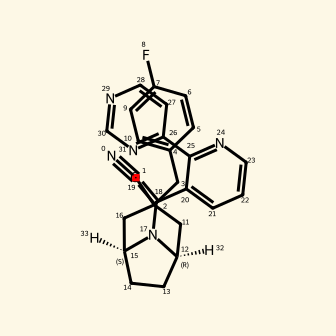 N#CC1(Cc2ccc(F)cc2)C[C@H]2CC[C@@H](C1)N2C(=O)c1cccnc1-c1ccncn1